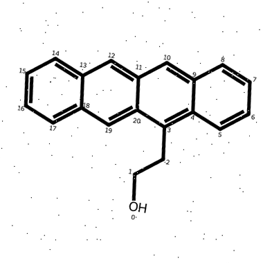 OCCc1c2ccccc2cc2cc3ccccc3cc12